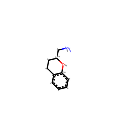 NC[C@@H]1CCc2ccccc2O1